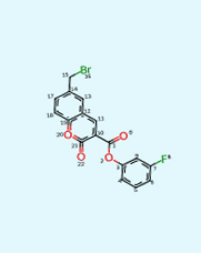 O=C(Oc1cccc(F)c1)c1cc2cc(CBr)ccc2oc1=O